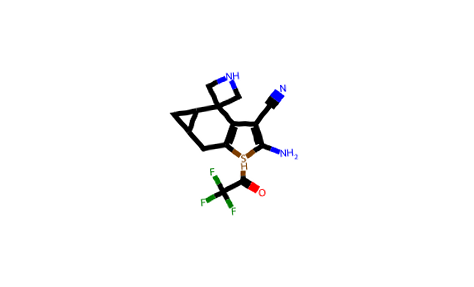 N#CC1=C(N)[SH](C(=O)C(F)(F)F)C2=C1C1(CNC1)C1CC1C2